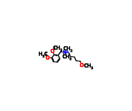 COCCCCC[N+](C)(C)Cc1cccc(OC)c1OC